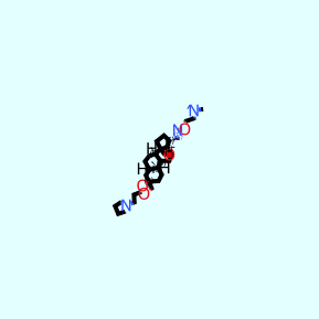 CN(C)CCO/N=C/[C@H]1CCC2(C=O)[C@@H]3CC[C@@H]4C[C@@](C=O)(OCCCN5CCCC5)CC[C@]4(C)[C@H]3CC[C@]12C